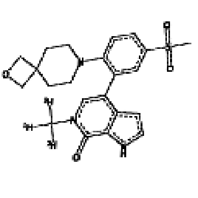 [2H]C([2H])([2H])n1cc(-c2cc(S(C)(=O)=O)ccc2N2CCC3(CC2)COC3)c2cc[nH]c2c1=O